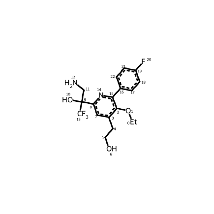 CCOc1c(CCO)cc(C(O)(CN)C(F)(F)F)nc1-c1ccc(F)cc1